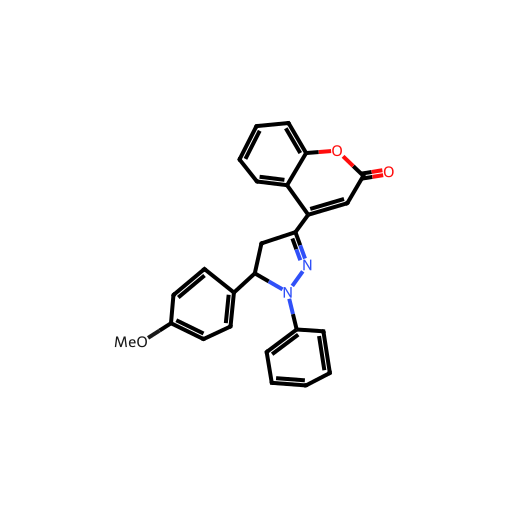 COc1ccc(C2CC(c3cc(=O)oc4ccccc34)=NN2c2ccccc2)cc1